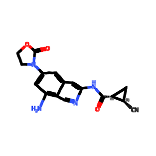 N#C[C@@H]1C[C@H]1C(=O)Nc1cc2cc(N3CCOC3=O)cc(N)c2cn1